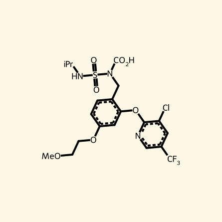 COCCOc1ccc(CN(C(=O)O)S(=O)(=O)NC(C)C)c(Oc2ncc(C(F)(F)F)cc2Cl)c1